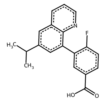 CC(C)c1cc(-c2cc(C(=O)O)ccc2F)c2ncccc2c1